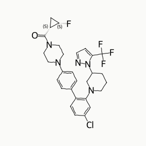 O=C([C@@H]1C[C@@H]1F)N1CCN(c2ccc(-c3ccc(Cl)cc3N3CCCC(n4nccc4C(F)(F)F)C3)cc2)CC1